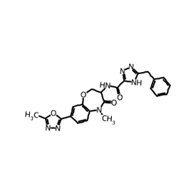 Cc1nnc(-c2ccc3c(c2)OCC(NC(=O)c2nnc(Cc4ccccc4)[nH]2)C(=O)N3C)o1